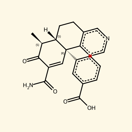 C[C@@H]1C(=O)C(C(N)=O)=C[C@]2(c3cccc(C(=O)O)c3)c3ncncc3CC[C@@H]12